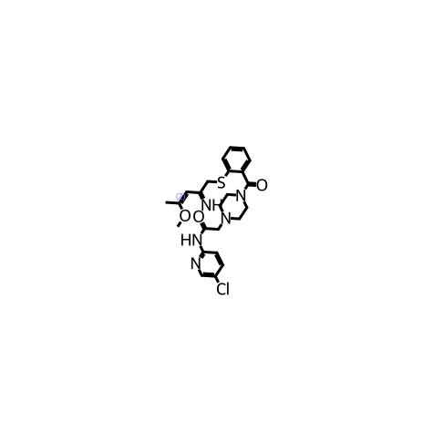 CO/C(C)=C\C(=N)CSc1ccccc1C(=O)N1CCN(CC(=O)Nc2ccc(Cl)cn2)CC1